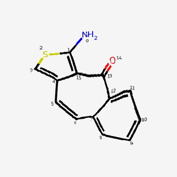 Nc1scc2ccc3ccccc3c(=O)c12